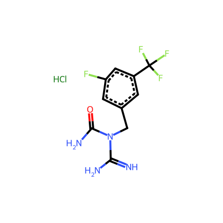 Cl.N=C(N)N(Cc1cc(F)cc(C(F)(F)F)c1)C(N)=O